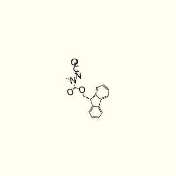 CN(N=C=O)C(=O)OCC1c2ccccc2-c2ccccc21